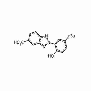 CCCCc1ccc(O)c(-n2nc3ccc(C(=O)O)cc3n2)c1